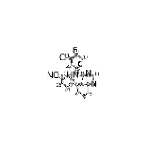 N#Cc1ccc(-c2cccc3ncnc(Nc4ccc(F)c(Cl)c4)c23)cc1